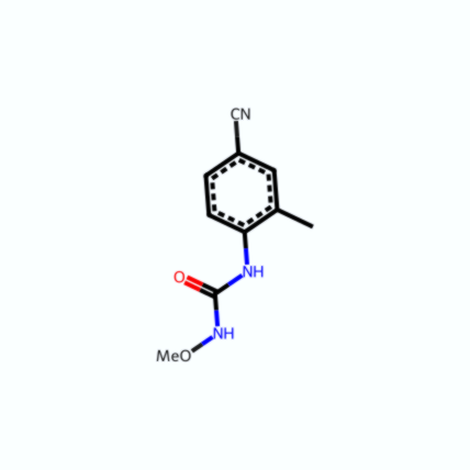 CONC(=O)Nc1ccc(C#N)cc1C